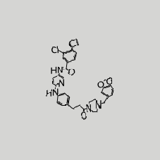 O=C(Nc1ccc(Nc2ccc(CCC(=O)N3CCN(Cc4ccc5c(c4)OCO5)CC3)cc2)nc1)c1ccc(Cl)c(Cl)c1